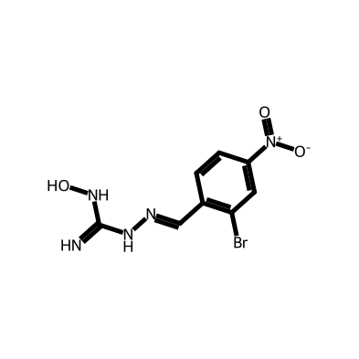 N=C(NO)NN=Cc1ccc([N+](=O)[O-])cc1Br